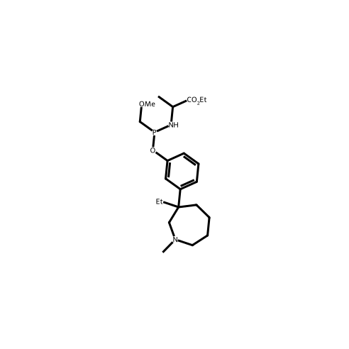 CCOC(=O)C(C)NP(COC)Oc1cccc(C2(CC)CCCCN(C)C2)c1